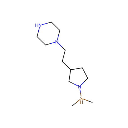 C[SH](C)N1CCC(CCN2CCNCC2)C1